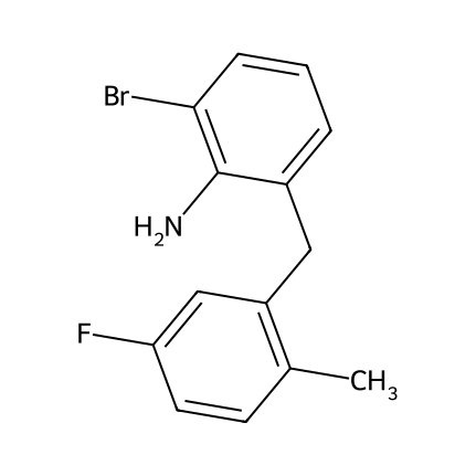 Cc1ccc(F)cc1Cc1cccc(Br)c1N